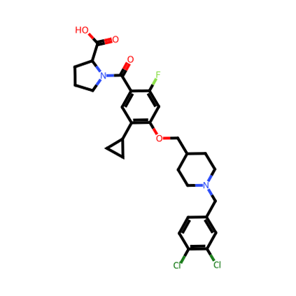 O=C(O)C1CCCN1C(=O)c1cc(C2CC2)c(OCC2CCN(Cc3ccc(Cl)c(Cl)c3)CC2)cc1F